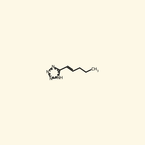 CCCC=Cc1nnn[nH]1